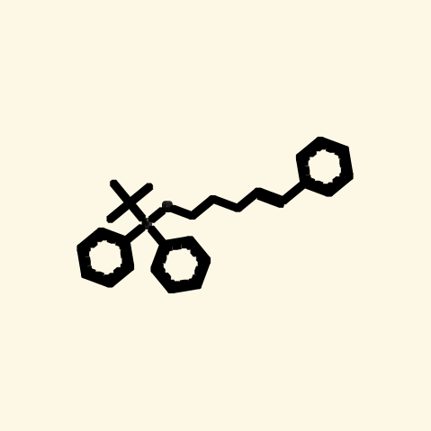 CC(C)(C)[Si](OCCC/C=C/c1ccccc1)(c1ccccc1)c1ccccc1